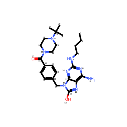 CCCCNc1nc(N)c2nc(O)n(Cc3ccc(C(=O)N4CCN(C(C)(C)C)CC4)cc3)c2n1